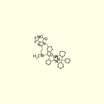 CCCCc1nc(C(F)(F)F)c(C(=O)O)n1Cc1ccc2oc(-c3ccccc3-c3nnn(C(c4ccccc4)(c4ccccc4)c4ccccc4)n3)c(Br)c2c1